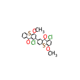 CCOc1ccc(Cl)c2c(=O)c3cc(-c4cc(OC)c5sc6ccccc6c(=O)c5c4Cl)ccc3sc12